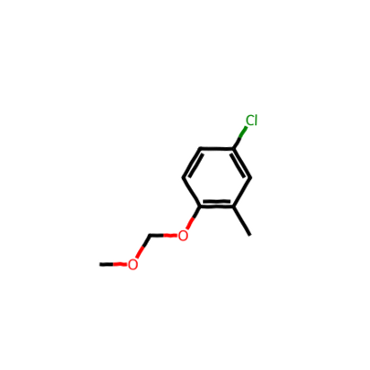 COCOc1ccc(Cl)cc1C